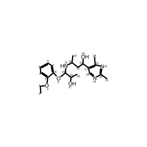 CCOc1ccccc1OC(NC(C)CC(O)c1cnc(C)nc1C)C(C)O